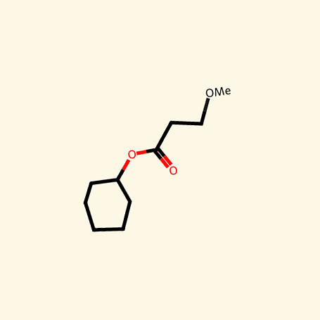 COCCC(=O)OC1CCCCC1